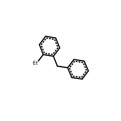 C[CH]c1ccccc1Cc1ccccc1